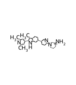 Cc1cc(-c2[nH]c3cc(-c4ccc(N5CCC[C@H](N)C5)nc4)ccc3c2C)cc(C)n1